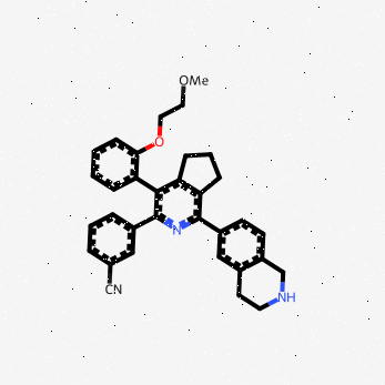 COCCOc1ccccc1-c1c(-c2cccc(C#N)c2)nc(-c2ccc3c(c2)CCNC3)c2c1CCC2